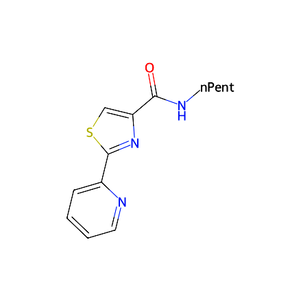 CCCCCNC(=O)c1csc(-c2ccccn2)n1